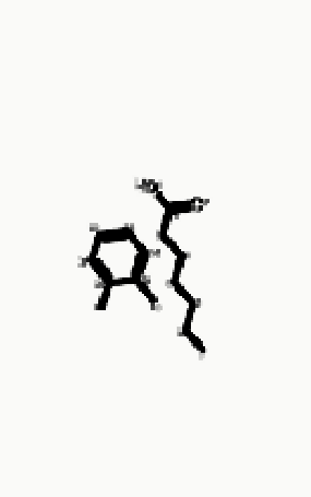 CCCCCCC(=O)O.Cc1ccccc1C